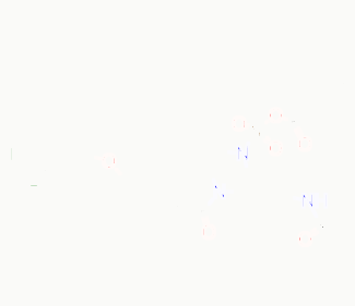 CC(=O)NCCC1CN(C(=O)C(C)(C)CCCOc2ccc(F)c(F)c2)CCN1S(=O)(=O)OC(=O)c1ccccc1